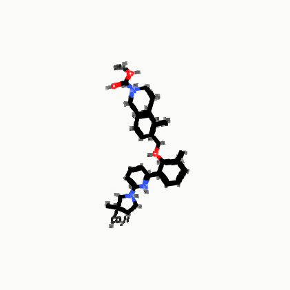 Cc1cccc(-c2cccc(N3CC[C@@](C)(C(=O)O)C3)n2)c1OCc1ccc2c(c1C)CCN(C(=O)OC(C)(C)C)C2